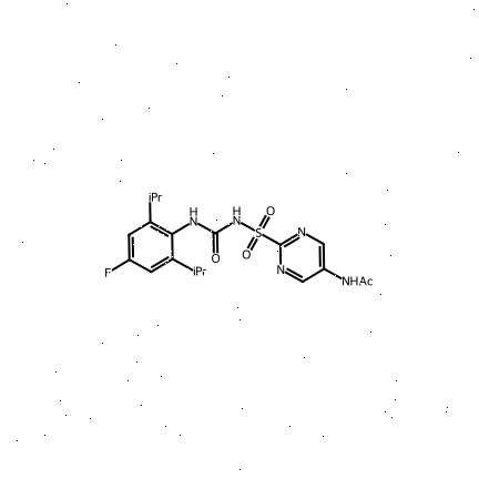 CC(=O)Nc1cnc(S(=O)(=O)NC(=O)Nc2c(C(C)C)cc(F)cc2C(C)C)nc1